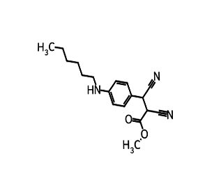 CCCCCCNc1ccc(C(C#N)C(C#N)C(=O)OC)cc1